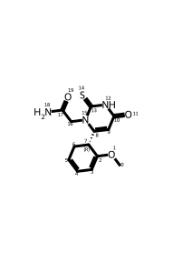 COC1=CC=CC[C@@H]1c1cc(=O)[nH]c(=S)n1CC(N)=O